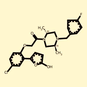 C[C@@H]1CN(Cc2ccc(F)cc2)[C@@H](C)CN1C(=O)COc1ccc(Cl)cc1-c1ccc(O)o1